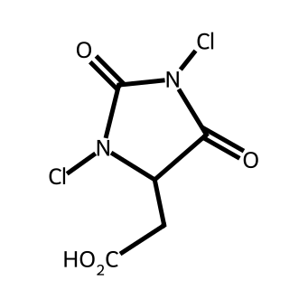 O=C(O)CC1C(=O)N(Cl)C(=O)N1Cl